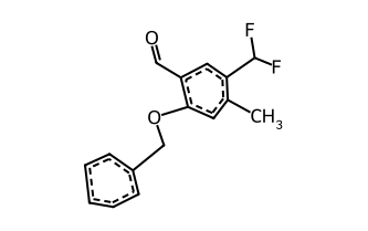 Cc1cc(OCc2ccccc2)c(C=O)cc1C(F)F